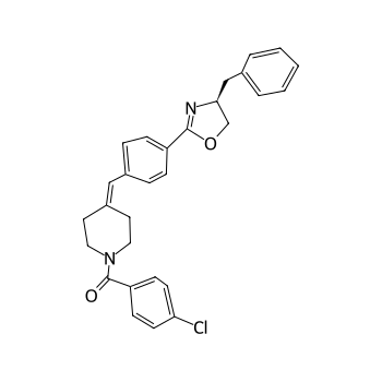 O=C(c1ccc(Cl)cc1)N1CCC(=Cc2ccc(C3=N[C@@H](Cc4ccccc4)CO3)cc2)CC1